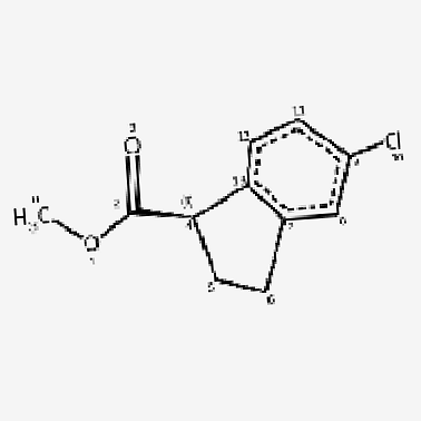 COC(=O)[C@@H]1CCc2cc(Cl)ccc21